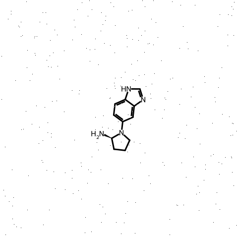 N[C@@H]1CCCN1c1ccc2[nH]cnc2c1